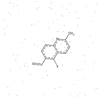 Cc1ccc2c(F)c(C=O)ccc2n1